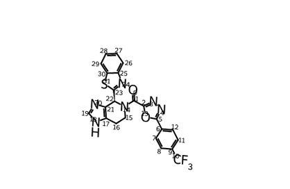 O=C(c1nnc(-c2ccc(C(F)(F)F)cc2)o1)N1CCc2[nH]cnc2[C@H]1c1nc2ccccc2s1